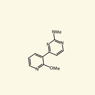 CNc1nccc(-c2cccnc2OC)n1